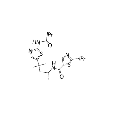 CC(CC(C)(C)c1cnc(NC(=O)C(C)C)s1)NC(=O)c1cnc(C(C)C)s1